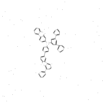 c1ccc(-c2cc(-c3ccccc3)cc(N(c3ccc(-c4ccc5oc6c(-c7ccccc7)cccc6c5c4)cc3)c3ccc4c(c3)sc3ccccc34)c2)cc1